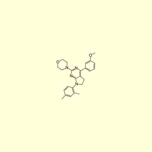 COc1cccc(-c2nc(N3CCOCC3)nc3c2CCN3c2ccc(C)cc2C)c1